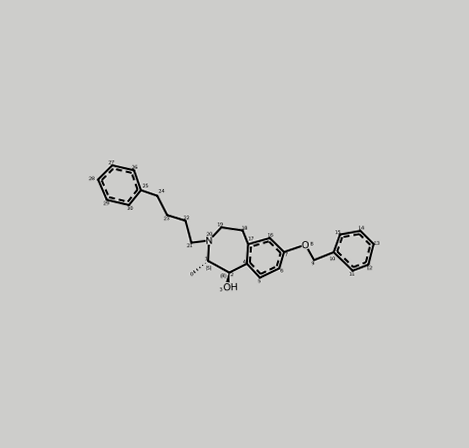 C[C@H]1[C@H](O)c2ccc(OCc3ccccc3)cc2CCN1CCCCc1ccccc1